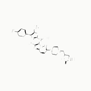 CCc1nc2ccc(N3CCN(CC4CNC(=O)O4)CC3)nn2c1N(C)c1nc(C2=CC=C(F)CC2)c(C#N)s1